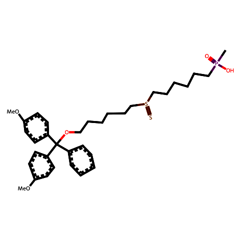 COc1ccc(C(OCCCCCCS(=S)CCCCCCP(C)(=O)O)(c2ccccc2)c2ccc(OC)cc2)cc1